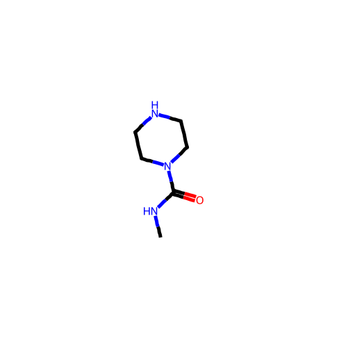 CNC(=O)N1CCNCC1